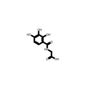 O=C(O)CNC(=O)c1ccc(O)c(O)c1O